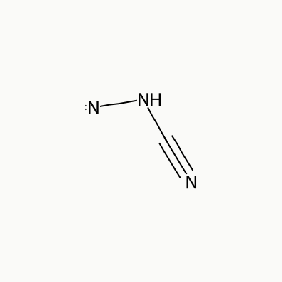 [N]NC#N